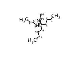 CCCC[PH](CCCC)(CCCC)[Ni][I]